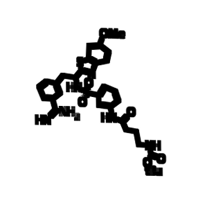 COc1ccc2nc(C(Cc3cccc(C(=N)N)c3)NS(=O)(=O)c3cccc(NC(=O)CCCNC(=O)OC(C)(C)C)c3)sc2c1